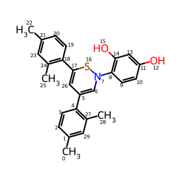 Cc1ccc(C2=CN(c3ccc(O)cc3O)SC(c3ccc(C)cc3C)=C2)c(C)c1